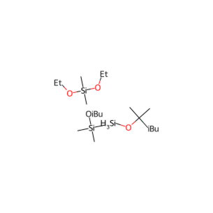 CC(C)CO[Si](C)(C)C.CCC(C)C(C)(C)O[SiH3].CCO[Si](C)(C)OCC